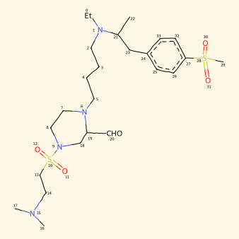 CCN(CCCCN1CCN(S(=O)(=O)CCN(C)C)CC1C=O)C(C)Cc1ccc(S(C)(=O)=O)cc1